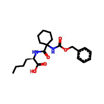 CCCC[C@H](NC(=O)C1(NC(=O)OCc2ccccc2)CCCCC1)C(=O)O